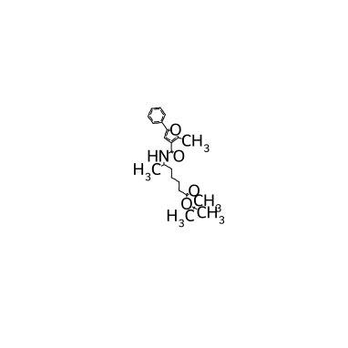 Cc1oc(-c2ccccc2)cc1C(=O)NC(C)CCCCC(=O)OC(C)(C)C